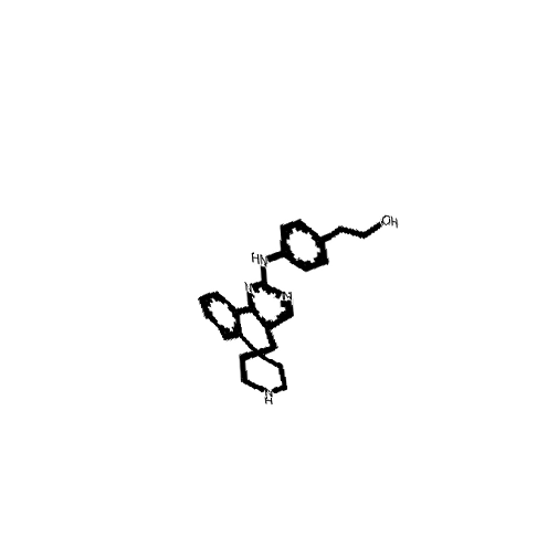 OCCc1ccc(Nc2ncc3c(n2)-c2ccccc2C2(CCNCC2)C3)cc1